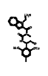 COc1cc(C)cc(OC)c1C(CC(C)C)NC(=O)N(C)C(=O)c1cc2ccccc2n1CC(=O)O